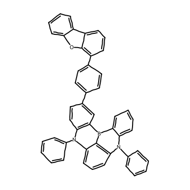 c1ccc(N2c3ccccc3B3c4cc(-c5ccc(-c6cccc7c6oc6ccccc67)cc5)ccc4N(c4ccccc4)c4cccc2c43)cc1